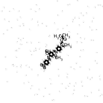 C=C(C)C(=O)OCCN(CC)c1ccc(N=Nc2cc(OC)c(/N=N/c3ccc([N+](=O)[O-])cc3)cc2OC)cc1